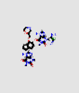 C1=Cc2cccc(OCC3CNCCO3)c2C1.Cl.Cn1c(=O)c2[nH]cnc2n(C)c1=O.Cn1c(=O)c2[nH]cnc2n(C)c1=O.NCCN